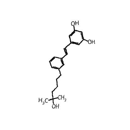 CC(C)(O)CCCCc1cccc(/C=C/c2cc(O)cc(O)c2)c1